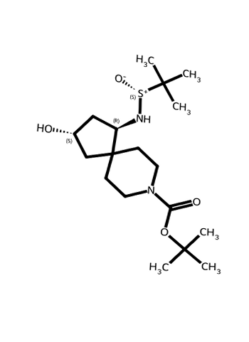 CC(C)(C)OC(=O)N1CCC2(CC1)C[C@H](O)C[C@H]2N[S@+]([O-])C(C)(C)C